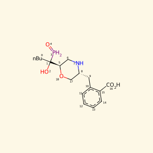 CCCCC(O)([PH2]=O)[C@H]1CN[C@H](Cc2ccccc2C(=O)O)CO1